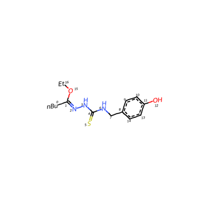 CCCCC(=NNC(=S)NCc1ccc(O)cc1)OCC